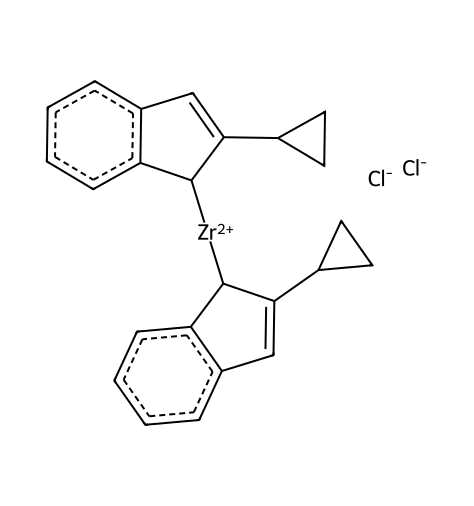 C1=C(C2CC2)[CH]([Zr+2][CH]2C(C3CC3)=Cc3ccccc32)c2ccccc21.[Cl-].[Cl-]